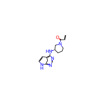 C=CC(=O)N1CCC[C@@H](NC2=C3C=CNC(=NC=N2)C3)C1